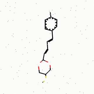 CC(=O)SC1COC(C=CC=Cc2ccc(C(F)(F)F)cc2)OC1